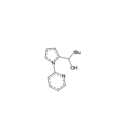 CC(C)(C)C(O)c1cccn1-c1ccccn1